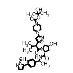 CC(C)C(C(=O)N1C[C@H](O)C[C@H]1C(=O)N[C@@H](C)c1ccc(-c2ccnn2C)cc1)c1cc(N2CCN(C(=O)OC(C)(C)C)CC2)no1